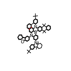 Cc1cc2c3c(c1)N(c1ccc(C(C)(C)C)cc1-c1ccccc1)c1cc4c(cc1B3c1ccc(N3c5ccc(C(C)(C)C)cc5C5(C)CCCCC35C)cc1N2c1ccc2oc3ccccc3c2c1)C(C)(C)c1ccccc1C4(C)C